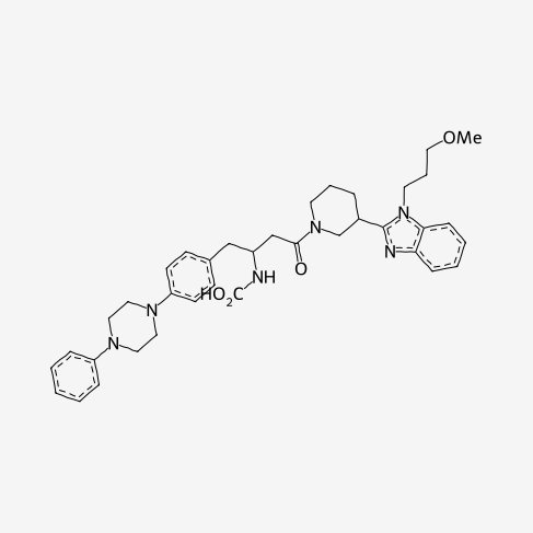 COCCCn1c(C2CCCN(C(=O)CC(Cc3ccc(N4CCN(c5ccccc5)CC4)cc3)NC(=O)O)C2)nc2ccccc21